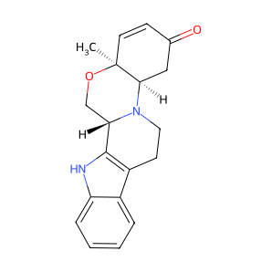 C[C@]12C=CC(=O)C[C@H]1N1CCc3c([nH]c4ccccc34)[C@@H]1CO2